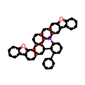 c1ccc(-c2ccccc2-c2c(-c3ccccc3)cccc2N(c2cccc(-c3cccc4c3oc3ccccc34)c2)c2ccc3oc4ccccc4c3c2)cc1